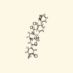 O=C(c1cccc(-c2cccnn2)c1Cl)N1CCN2C[C@@H](c3ccc(F)c(Cl)c3)OC[C@@H]2C1